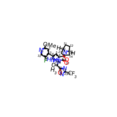 COc1cc(-c2cc(C(=O)N3[C@@H]4CC[C@H]3C[C@H](C(=O)N[C@@H](C)c3nc(C(F)(F)F)no3)C4)n[nH]2)c(F)cn1